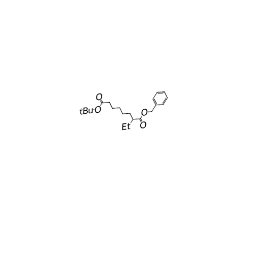 CCC(CCCCCC(=O)OC(C)(C)C)C(=O)OCc1ccccc1